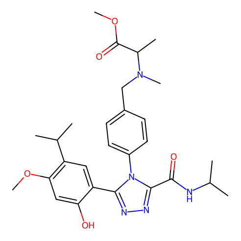 COC(=O)C(C)N(C)Cc1ccc(-n2c(C(=O)NC(C)C)nnc2-c2cc(C(C)C)c(OC)cc2O)cc1